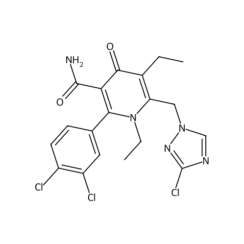 CCc1c(Cn2cnc(Cl)n2)n(CC)c(-c2ccc(Cl)c(Cl)c2)c(C(N)=O)c1=O